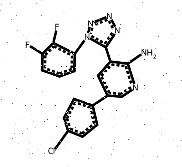 Nc1ncc(-c2ccc(Cl)cc2)cc1-c1nnnn1-c1cccc(F)c1F